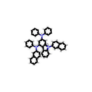 c1ccc(N(c2ccccc2)c2cc(N(c3ccccc3)c3ccc4ccccc4c3)c3c4ccccc4n(-c4ccc5ccccc5c4)c3c2)cc1